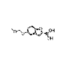 COCOc1ccc2oc(B(O)O)cc2c1